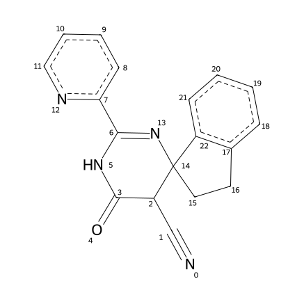 N#CC1C(=O)NC(c2ccccn2)=NC12CCc1ccccc12